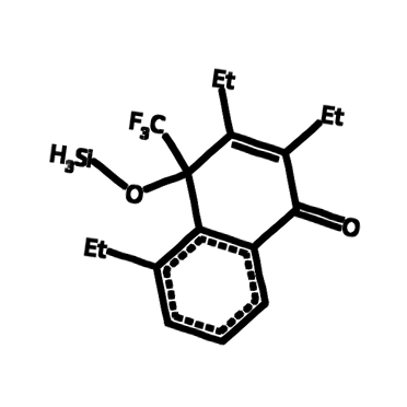 CCC1=C(CC)C(O[SiH3])(C(F)(F)F)c2c(CC)cccc2C1=O